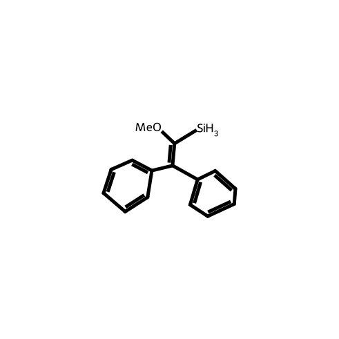 COC([SiH3])=C(c1ccccc1)c1ccccc1